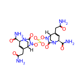 NC(=O)CC1=C[C@@H](C(N)=O)N2C[C@@H]1N(OS(=O)(=O)ON1C(=O)N3C[C@H]1C(CC(N)=O)=C[C@H]3C(N)=O)C2=O